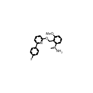 COc1cccc(N(C)N)c1COc1cccc(-c2ccc(F)cc2)n1